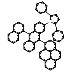 c1ccc(-c2ccc(-c3ccccc3)n2-c2ccc3c(-c4cccc5ccccc45)c4ccccc4c(-c4ccc5ccc6cccc7ccc4c5c67)c3c2)cc1